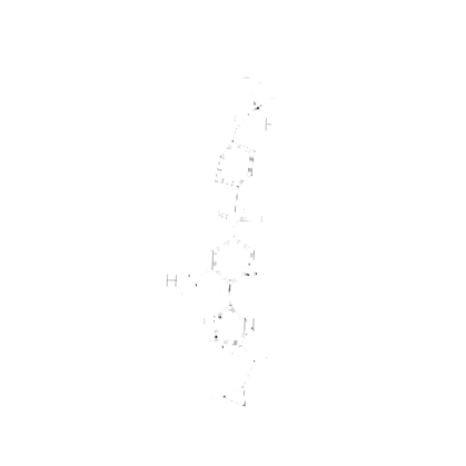 Nc1cc(S(=O)(=O)c2ccc(OC(F)(F)F)cc2)cnc1-c1nc(CC2CC2)no1